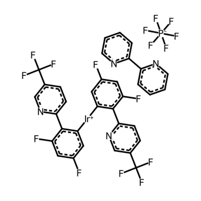 F[P-](F)(F)(F)(F)F.Fc1cc(F)c(-c2ccc(C(F)(F)F)cn2)[c]([Ir+][c]2cc(F)cc(F)c2-c2ccc(C(F)(F)F)cn2)c1.c1ccc(-c2ccccn2)nc1